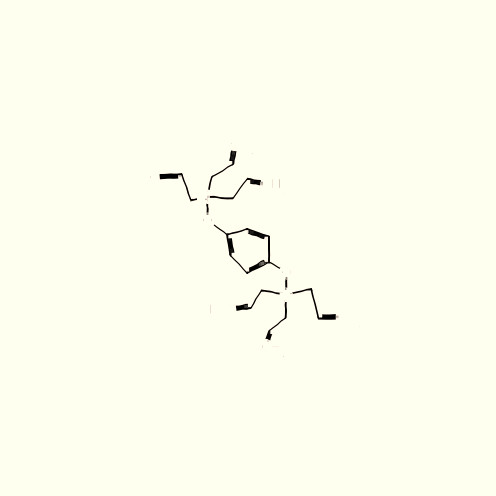 C=CC[Si](CC=C)(CC=C)Oc1ccc(O[Si](CC=C)(CC=C)CC=C)cc1